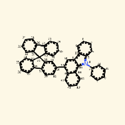 c1ccc(-n2c3ccccc3c3cc(-c4ccc5c(c4)C4(c6ccccc6-c6ccccc64)c4ccccc4-5)c4ccccc4c32)cc1